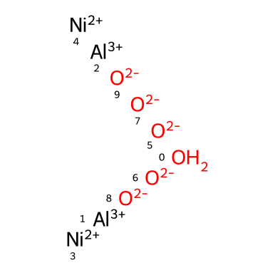 O.[Al+3].[Al+3].[Ni+2].[Ni+2].[O-2].[O-2].[O-2].[O-2].[O-2]